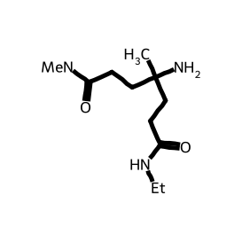 CCNC(=O)CCC(C)(N)CCC(=O)NC